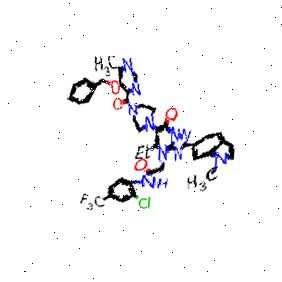 CCc1c(N2CCN(C(=O)c3ncnc(C)c3OCc3ccccc3)CC2)c(=O)n2nc(-c3ccc4ccn(C)c4c3)nc2n1CC(=O)Nc1ccc(C(F)(F)F)cc1Cl